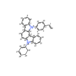 C=Cc1ccc(-n2c3ccccc3c3ccc4c(c5ccccc5n4C4=CC=CCC4)c32)cc1